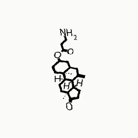 C=C1CC2CC(OC(=O)CCN)CC[C@]2(C)[C@@H]2CC[C@]3(C)C(=O)CC[C@H]3[C@H]12